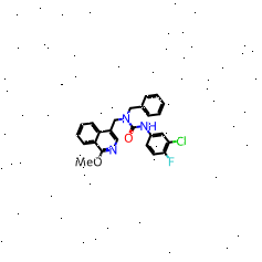 COc1ncc(CN(Cc2ccccc2)C(=O)Nc2ccc(F)c(Cl)c2)c2ccccc12